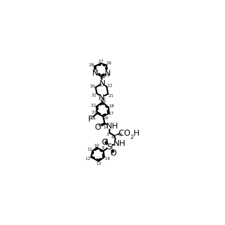 O=C(NC[C@H](NS(=O)(=O)c1ccccc1)C(=O)O)c1ccc(N2CCN(c3ncccn3)CC2)cc1F